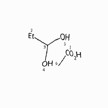 CC(=O)O.CCC(O)O